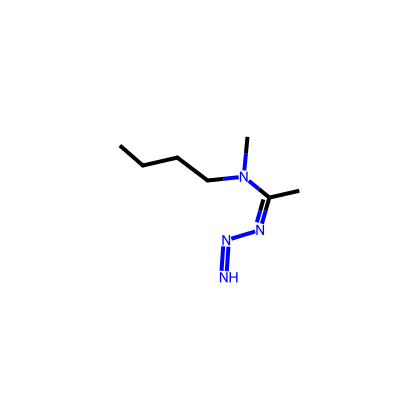 CCCCN(C)/C(C)=N\N=N